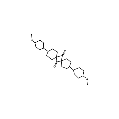 COC1CCC(C2CCC3(CC2)C(=O)C2(CCC(C4CCC(OC)CC4)CC2)C3=O)CC1